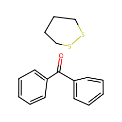 C1CCSSC1.O=C(c1ccccc1)c1ccccc1